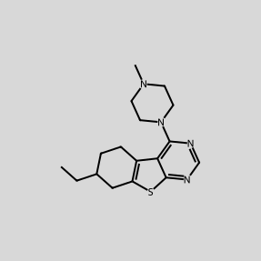 CCC1CCc2c(sc3ncnc(N4CCN(C)CC4)c23)C1